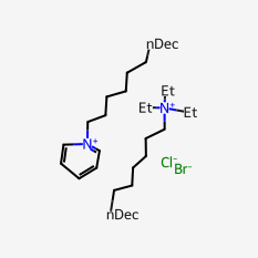 CCCCCCCCCCCCCCCC[N+](CC)(CC)CC.CCCCCCCCCCCCCCCC[n+]1ccccc1.[Br-].[Cl-]